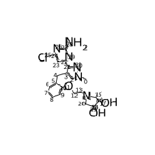 Cn1cc(Cc2ccccc2OCCN2C[C@@H](O)[C@@H](O)C2)c(-c2cc(Cl)nc(N)n2)n1